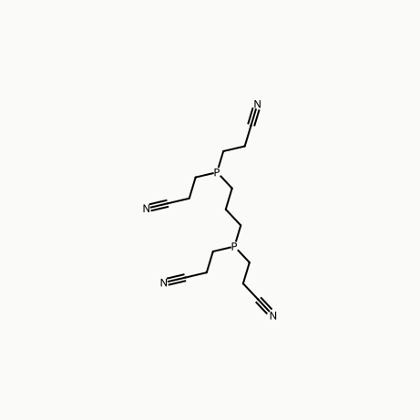 N#CCCP(CCC#N)CCCP(CCC#N)CCC#N